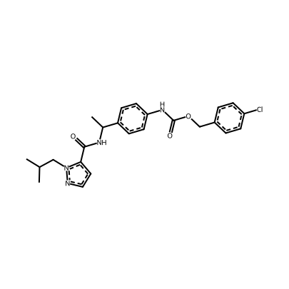 CC(C)Cn1nccc1C(=O)NC(C)c1ccc(NC(=O)OCc2ccc(Cl)cc2)cc1